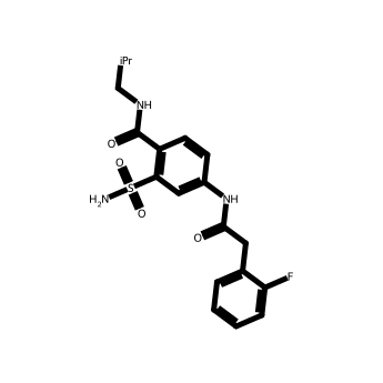 CC(C)CNC(=O)c1ccc(NC(=O)Cc2ccccc2F)cc1S(N)(=O)=O